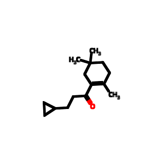 CC1=C(C(=O)CCC2CC2)CC(C)(C)CC1